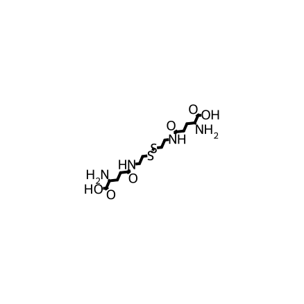 N[C@@H](CCC(=O)NCCSSCCNC(=O)CC[C@H](N)C(=O)O)C(=O)O